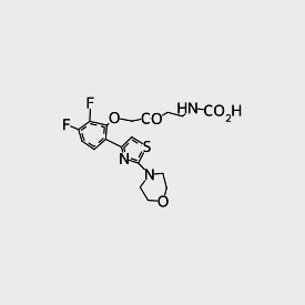 O=C(O)NCCOCCOc1c(-c2csc(N3CCOCC3)n2)ccc(F)c1F